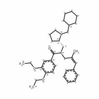 CC(=Cc1ccccc1)CN(C[C@@H]1CCCN1CC1CCCCC1)C(=O)c1ccc(OCC(F)(F)F)c(OCC(F)(F)F)c1